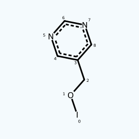 IOCc1cncnc1